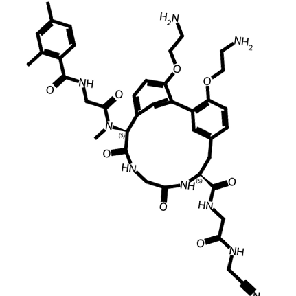 Cc1ccc(C(=O)NCC(=O)N(C)[C@@H]2C(=O)NCC(=O)N[C@H](C(=O)NCC(=O)NCC#N)Cc3ccc(OCCN)c(c3)-c3cc2ccc3OCCN)c(C)c1